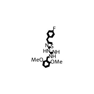 COc1cccc(OC)c1CNC(=N)Nc1nc(Cc2ccc(F)cc2)cs1